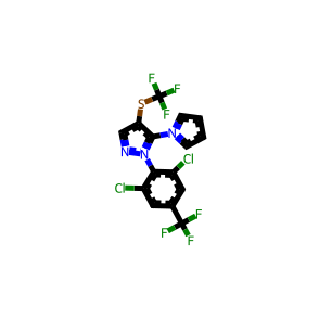 FC(F)(F)Sc1cnn(-c2c(Cl)cc(C(F)(F)F)cc2Cl)c1-n1cccc1